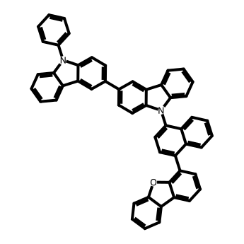 c1ccc(-n2c3ccccc3c3cc(-c4ccc5c(c4)c4ccccc4n5-c4ccc(-c5cccc6c5oc5ccccc56)c5ccccc45)ccc32)cc1